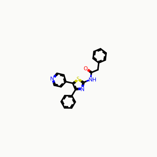 O=C(Cc1ccccc1)Nc1nc(-c2ccccc2)c(-c2ccncc2)s1